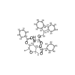 CC1OC(C)C(OC(=O)c2ccccc2)C(NC(=O)OCC2c3ccccc3-c3ccccc32)C1OC(=O)c1ccccc1